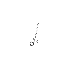 C=C(C)C(OCCCCCCCCC)c1ccccc1